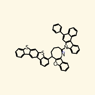 c1ccc(-c2cc3c(c4ccccc24)c2ccccc2n3/C2=N/c3c(oc4ccccc34)C(c3cccc4c3sc3cc5sc6ccccc6c5cc34)CCC2)cc1